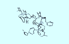 CN[C@@H]1CO[C@@H]2C[C@H](OC(=O)N[C@@H](Cc3ccccc3)[C@H](O)CN(CC(C)C)S(=O)(=O)c3ccc(OC)cc3)C[C@H]12